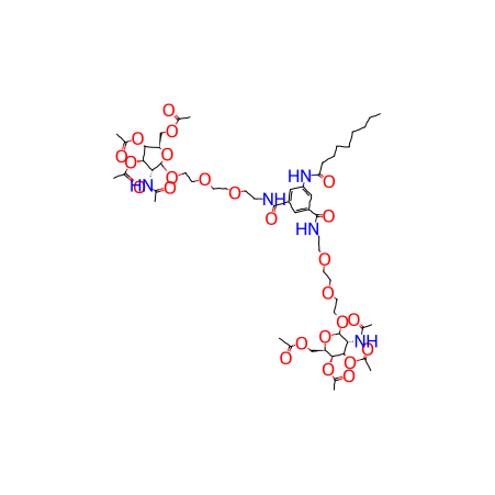 CCCCCCCCC(=O)Nc1cc(C(=O)NCCOCCOCCOC2O[C@H](COC(C)=O)[C@H](OC(C)=O)[C@H](OC(C)=O)[C@H]2NC(C)=O)cc(C(=O)NCCOCCOCCOC2O[C@H](COC(C)=O)[C@H](OC(C)=O)[C@H](OC(C)=O)[C@H]2NC(C)=O)c1